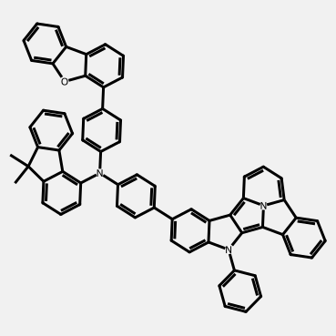 CC1(C)c2ccccc2-c2c(N(c3ccc(-c4ccc5c(c4)c4c(c6c7ccccc7c7cccc4n76)n5-c4ccccc4)cc3)c3ccc(-c4cccc5c4oc4ccccc45)cc3)cccc21